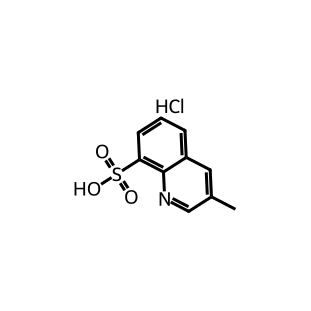 Cc1cnc2c(S(=O)(=O)O)cccc2c1.Cl